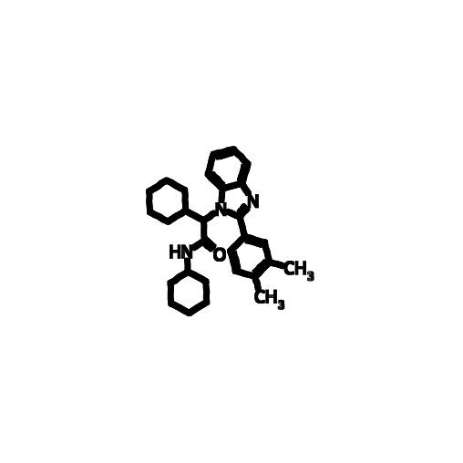 Cc1ccc(-c2nc3ccccc3n2C(C(=O)NC2CCCCC2)C2CCCCC2)cc1C